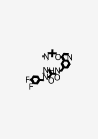 CN(C)CC(C)(C)COc1ccnc2ccc(CNC(=O)c3cncn(Cc4ccc(F)c(F)c4)c3=O)cc12